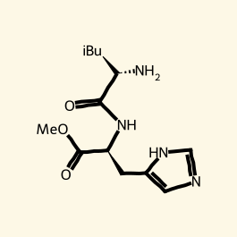 CC[C@H](C)[C@H](N)C(=O)N[C@@H](Cc1cnc[nH]1)C(=O)OC